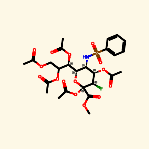 COC(=O)[C@@]1(OC(C)=O)O[C@H]([C@H](OC(C)=O)C(COC(C)=O)OC(C)=O)[C@H](NS(=O)(=O)c2ccccc2)[C@H](OC(C)=O)[C@H]1F